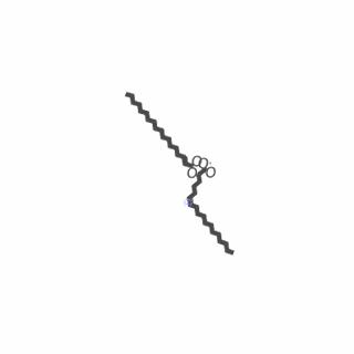 CCCCCCCCCCC/C=C\CCCC(OC(=O)C=CCCCCCCCCCCCCCCC)C([O])=O